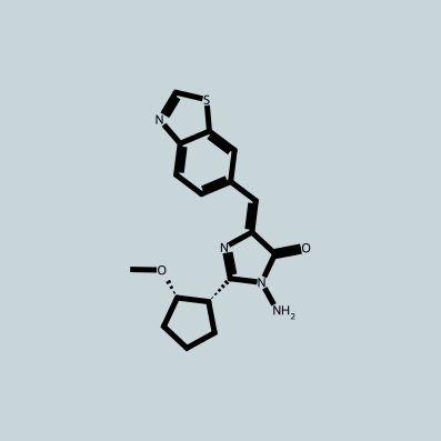 CO[C@H]1CCC[C@H]1C1=N/C(=C\c2ccc3ncsc3c2)C(=O)N1N